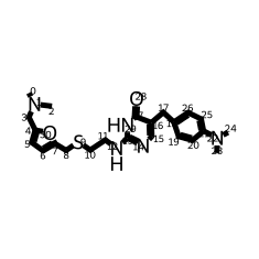 CN(C)Cc1ccc(CSCCNc2ncc(Cc3ccc(N(C)C)cc3)c(=O)[nH]2)o1